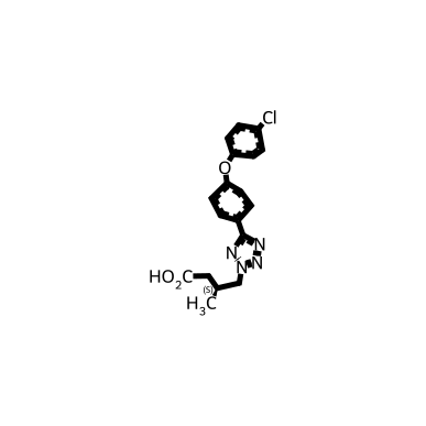 C[C@@H](CC(=O)O)Cn1nnc(-c2ccc(Oc3ccc(Cl)cc3)cc2)n1